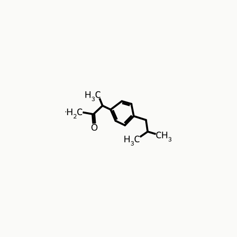 [CH2]C(=O)C(C)c1ccc(CC(C)C)cc1